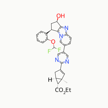 CCOC(=O)[C@@H]1[C@H]2CC(c3ncc(-c4ccc5nc6c(n5c4)[C@@H](c4ccccc4OC(F)F)C[C@H]6O)cn3)=C[C@]21C